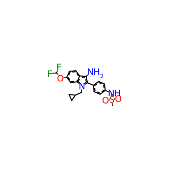 CS(=O)(=O)Nc1ccc(-c2c(N)c3ccc(OC(F)F)cc3n2CC2CC2)cc1